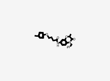 Cc1ccc(OCCCC(=O)Nc2ccc3c(c2)OC(C)C(=O)N3CC(C)C)cc1